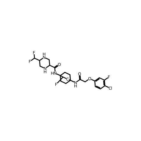 O=C(COc1ccc(Cl)c(F)c1)NC12CCC(NC(=O)C3CNC(C(F)F)CN3)(CC1)C(F)C2